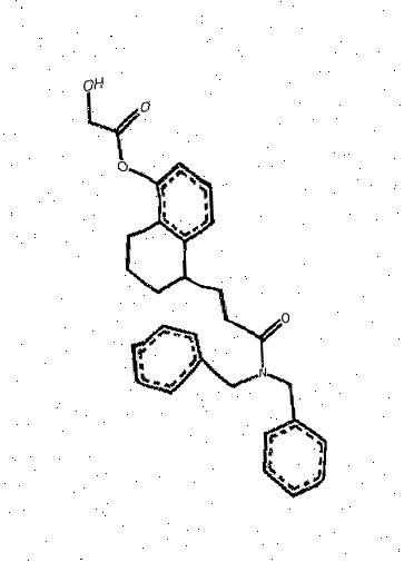 O=C(CO)Oc1cccc2c1CCCC2CCC(=O)N(Cc1ccccc1)Cc1ccccc1